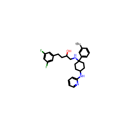 CC(C)(C)c1cccc(C2(NCC(O)CCc3cc(F)cc(F)c3)CCC(Nc3ccccn3)CC2)c1